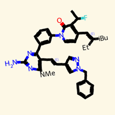 CC/C(=C\c1ccn(-c2cccc(-c3nc(N)nc(NC)c3/C=C/c3cnn(Cc4ccccc4)c3)c2)c(=O)c1C(C)F)C(C)CC